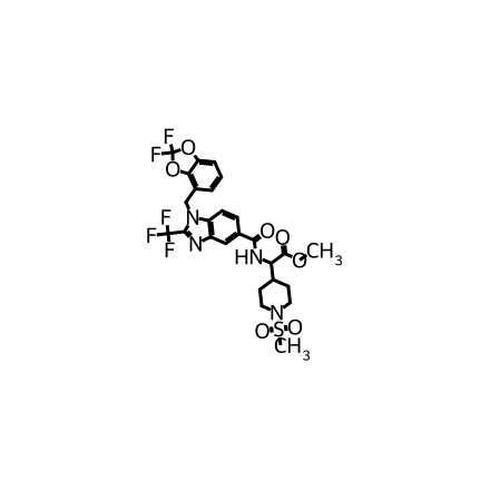 COC(=O)C(NC(=O)c1ccc2c(c1)nc(C(F)(F)F)n2Cc1cccc2c1OC(F)(F)O2)C1CCN(S(C)(=O)=O)CC1